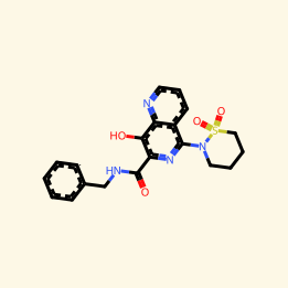 O=C(NCc1[c]cccc1)c1nc(N2CCCCS2(=O)=O)c2cccnc2c1O